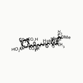 CCCCCC(=O)N[C@@H](CCC(=O)NCCCCNC(=O)CCC(C(=O)O)N1CCN(CC(=O)O)CCN(CC(=O)O)CCN(CC(=O)O)CC1)C(=O)NCC(C)COCC(C)COC